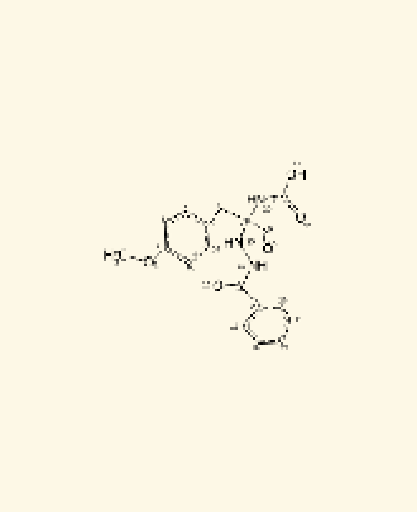 COc1ccc(CC(C=O)(NNC(=O)c2ccccc2)NC(=O)O)cc1